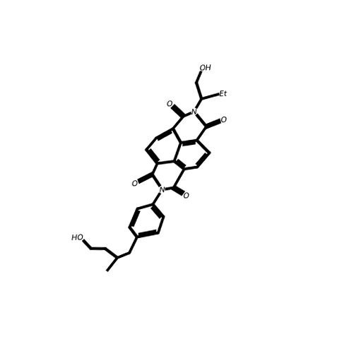 CCC(CO)N1C(=O)c2ccc3c4c(ccc(c24)C1=O)C(=O)N(c1ccc(CC(C)CCO)cc1)C3=O